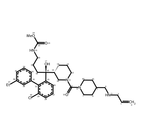 C=CCNCC1CCN(C(=O)N2CCC[C@@H]([C@@](O)(CCCNC(=O)OC)c3cccc(Cl)c3-c3cccc(CC)c3)C2)CC1